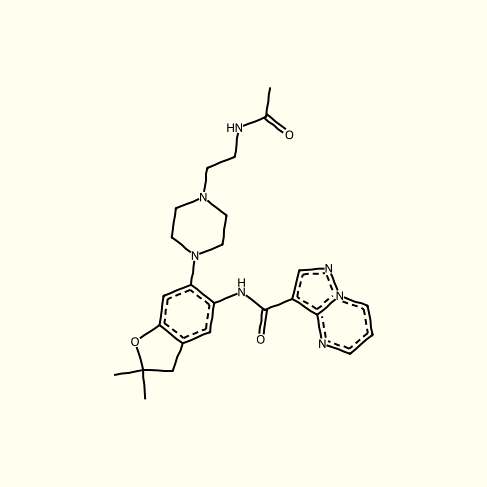 CC(=O)NCCN1CCN(c2cc3c(cc2NC(=O)c2cnn4cccnc24)CC(C)(C)O3)CC1